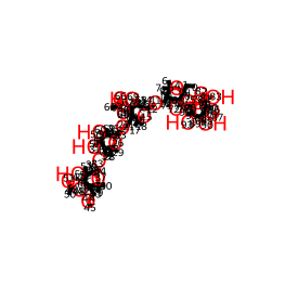 CC[C@]1(C)OC(C)(C)[C@@](C)(COC[C@]2(C)OC(C)(C)[C@@](C)(COC[C@]3(C)OC(C)(C)[C@@](C)(COC[C@]4(C)OC(C)(C)[C@@](C)(COC)[C@](C)(OC(C)=O)C4(C)O)[C@@](C)(O)C3(C)O)[C@](C)(OC(C)=O)C2(C)O)[C@@](C)(O)C1(C)O[C@]1(C)O[C@](C)(C(=O)O)[C@@](C)(OC)[C@@](C)(O)C1(C)O